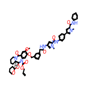 C=CCOC(=O)N1c2cc(OCc3cccc(CC(=O)Nc4cc(C(=O)Nc5ccc(-c6cc(C(=O)Nc7ccccc7)n(C)c6)cc5)n(C)c4)c3)c(OC)cc2C(=O)N2CCCC[C@H]2C1OC1CCCCO1